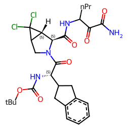 CCCC(NC(=O)[C@@H]1[C@@H]2C(CN1C(=O)[C@@H](NC(=O)OC(C)(C)C)C1Cc3ccccc3C1)C2(Cl)Cl)C(=O)C(N)=O